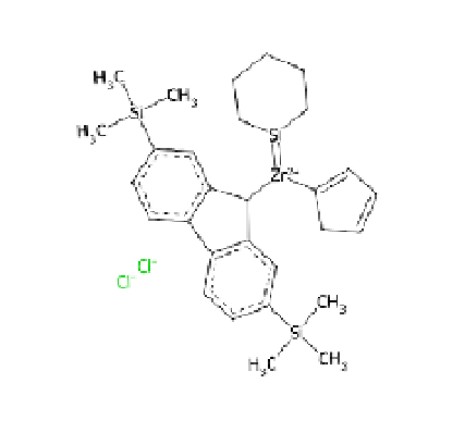 C[Si](C)(C)c1ccc2c(c1)[CH]([Zr+2]([C]1=CC=CC1)=[Si]1CCCCC1)c1cc([Si](C)(C)C)ccc1-2.[Cl-].[Cl-]